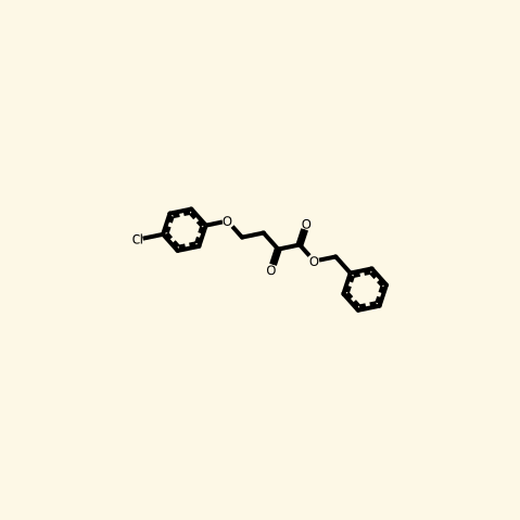 O=C(CCOc1ccc(Cl)cc1)C(=O)OCc1ccccc1